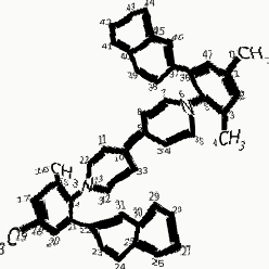 Cc1cc(C)c(N2C=CC(=C3C=CN(c4c(C)cc(C)cc4-c4ccc5ccccc5c4)C=C3)C=C2)c(-c2ccc3ccccc3c2)c1